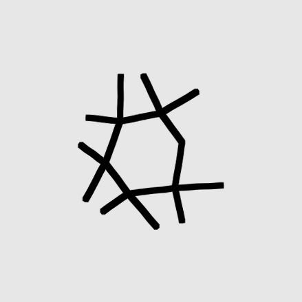 CC1(C)CC(C)(C)C(C)(C)C(C)(C)C1(C)C